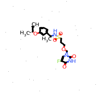 C#C[C@@H](C)Oc1cccc([C@@H](C)NS(=O)(=O)CCCOCn2cc(F)c(=O)[nH]c2=O)c1